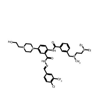 CCN(CC)CCN(C)Cc1cccc(C(=O)Nc2ccc(N3CCN(CCO)CC3)cc2C(=O)NN=Cc2ccc(Cl)c(C(F)(F)F)c2)c1